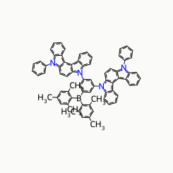 Cc1cc(C)c(B(c2cc(-n3c4ccccc4c4c5c6ccccc6n(-c6ccccc6)c5ccc43)cc(-n3c4ccccc4c4c5c6ccccc6n(-c6ccccc6)c5ccc43)c2)c2c(C)cc(C)cc2C)c(C)c1